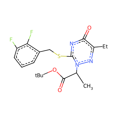 CCc1nn(C(C)C(=O)OC(C)(C)C)c(SCc2cccc(F)c2F)nc1=O